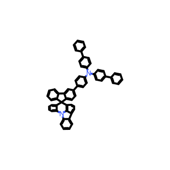 c1ccc(-c2ccc(N(c3ccc(-c4ccccc4)cc3)c3ccc(-c4ccc5c(c4)-c4ccccc4C54c5ccccc5-n5c6ccccc6c6cccc4c65)cc3)cc2)cc1